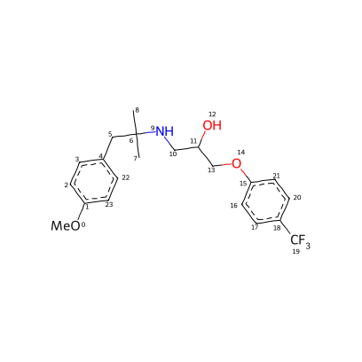 COc1ccc(CC(C)(C)NCC(O)COc2ccc(C(F)(F)F)cc2)cc1